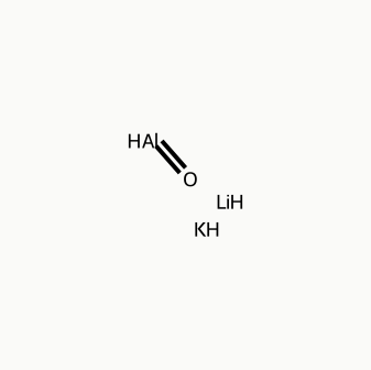 [KH].[LiH].[O]=[AlH]